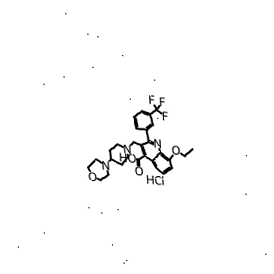 CCOc1cccc2c(C(=O)O)c(CN3CCC(N4CCOCC4)CC3)c(-c3cccc(C(F)(F)F)c3)nc12.Cl